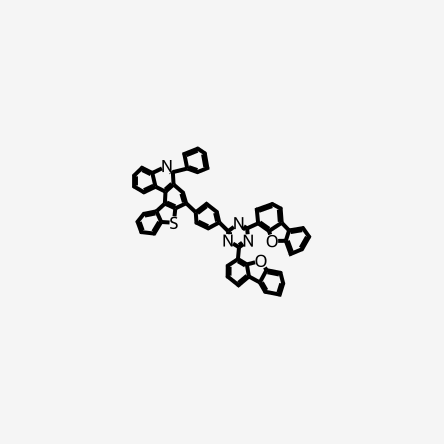 c1ccc(-c2nc3ccccc3c3c2cc(-c2ccc(-c4nc(-c5cccc6c5oc5ccccc56)nc(-c5cccc6c5oc5ccccc56)n4)cc2)c2sc4ccccc4c23)cc1